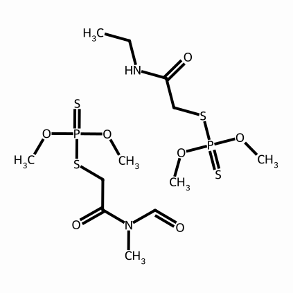 CCNC(=O)CSP(=S)(OC)OC.COP(=S)(OC)SCC(=O)N(C)C=O